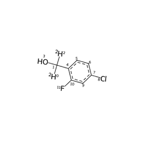 [2H]C([2H])(O)c1ccc(Cl)cc1F